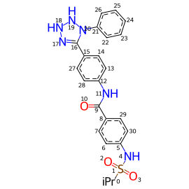 CC(C)S(=O)(=O)Nc1ccc(C(=O)Nc2ccc(C3=NNNN3c3ccccc3)cc2)cc1